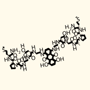 CSCC[C@H](NC(=O)[C@@H]1CCCN1C(=O)[C@H](C)NC(=O)CNC(=O)[C@H](CC(=O)O)NCCNc1ccc(NCCN[C@@H](CC(=O)O)C(=O)NCC(=O)N[C@@H](C)C(=O)N2CCC[C@H]2C(=O)N[C@@H](CCSC)C(N)=O)c2c1C(=O)c1c(O)ccc(O)c1C2=O)C(N)=O